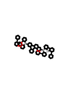 c1ccc(-c2ccccc2N(c2ccc3c(ccc4c5ccc(N(c6ccccc6-c6ccccc6)c6cccc7c6oc6c(-c8ccccc8)cccc67)cc5c5ccccc5c34)c2)c2cccc3c2oc2c(-c4ccccc4)cccc23)cc1